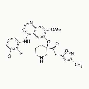 COc1cc2ncnc(Nc3cccc(Cl)c3F)c2cc1O[C@]1(C(=O)Cc2cc(C)no2)CCCNC1